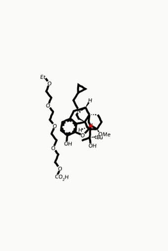 CCOCCOCCOCCOCCOC(=O)O.CO[C@@]12CC[C@@]3(C[C@@H]1[C@](C)(O)C(C)(C)C)[C@H]1Cc4ccc(O)c5c4[C@@]3(CCN1CC1CC1)[C@H]2O5